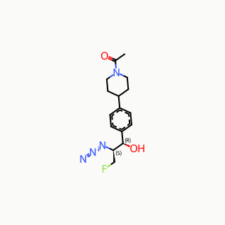 CC(=O)N1CCC(c2ccc([C@@H](O)[C@@H](CF)N=[N+]=[N-])cc2)CC1